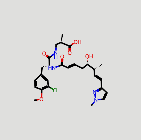 COc1ccc(C[C@@H](NC(=O)/C=C/C[C@H](O)[C@H](C)/C=C/c2ccn(C)n2)C(=O)NC[C@@H](C)C(=O)O)cc1Cl